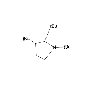 CCC(C)C1CCN(C(C)(C)C)C1C(C)(C)C